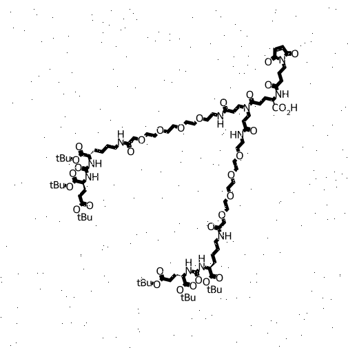 CC(C)(C)OC(=O)CC[C@H](NC(=O)N[C@@H](CCCCNC(=O)COCCOCCOCCOCCNC(=O)CCN(CCC(=O)NCCOCCOCCOCCOCC(=O)NCCCC[C@H](NC(=O)N[C@@H](CCC(=O)OC(C)(C)C)C(=O)OC(C)(C)C)C(=O)OC(C)(C)C)C(=O)CC[C@H](NC(=O)CCCN1C(=O)C=CC1=O)C(=O)O)C(=O)OC(C)(C)C)C(=O)OC(C)(C)C